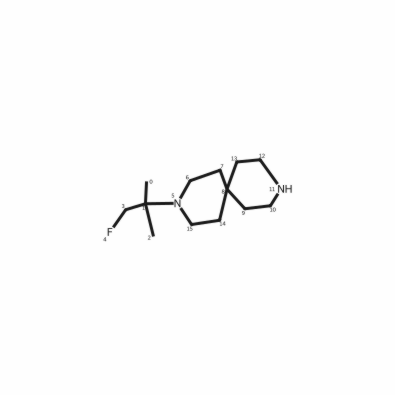 CC(C)(CF)N1CCC2(CCNCC2)CC1